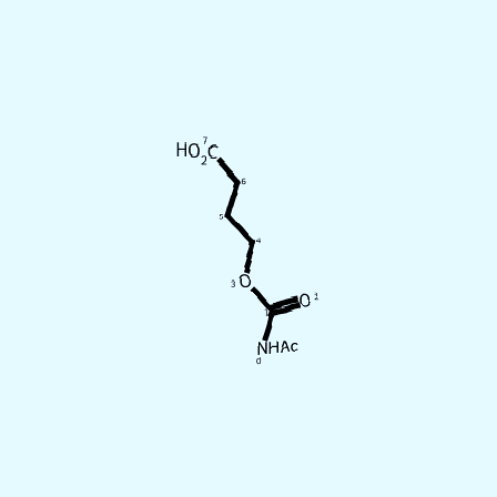 CC(=O)NC(=O)OCCCC(=O)O